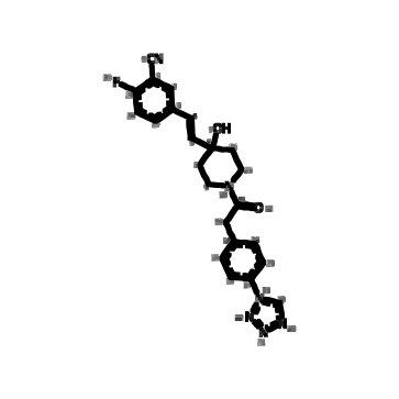 N#Cc1cc(C=CC2(O)CCN(C(=O)Cc3ccc(-n4cnnn4)cc3)CC2)ccc1F